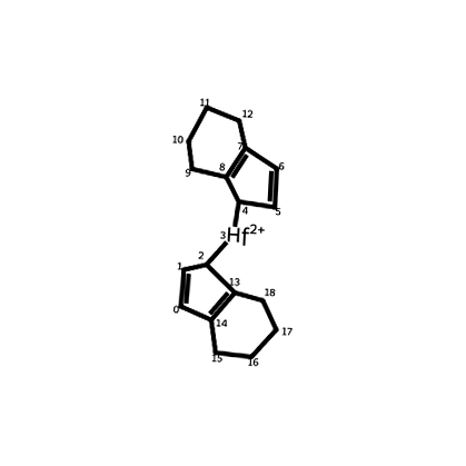 C1=C[CH]([Hf+2][CH]2C=CC3=C2CCCC3)C2=C1CCCC2